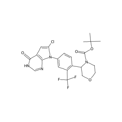 CC(C)(C)OC(=O)N1CCOCC1c1ccc(-n2c(Cl)cc3c(=O)[nH]cnc32)cc1C(F)(F)F